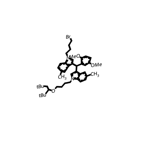 COc1ccc(OC)c(C(c2cn(CCCCBr)c3ccc(C)cc23)c2cn(CCCCOC(CC(C)(C)C)C(C)(C)C)c3ccc(C)cc23)c1